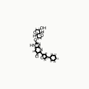 O[C@@H]1CO[C@H]2[C@@H]1OC[C@H]2Oc1nc2nc(-c3cc(-c4ccccc4)co3)c(Cl)cc2[nH]1